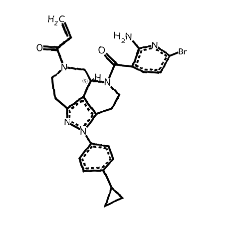 C=CC(=O)N1CCc2nn(-c3ccc(C4CC4)cc3)c3c2[C@@H](C1)N(C(=O)c1ccc(Br)nc1N)CC3